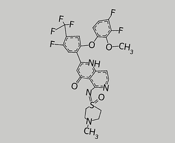 COc1c(Oc2cc(C(F)(F)F)c(F)cc2-c2cc(=O)c3c(N=S4(=O)CCN(C)CC4)nccc3[nH]2)ccc(F)c1F